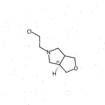 ClCCN1CC2COC[C@H]2C1